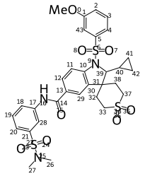 COc1cccc(S(=O)(=O)N2c3ccc(C(=O)Nc4cccc(S(=O)(=O)N(C)C)c4)cc3C3(CCS(=O)(=O)CC3)C2C2CC2)c1